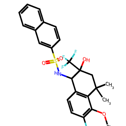 COc1c(F)ccc2c1C(C)(C)CC(O)(C(F)(F)F)C2NS(=O)(=O)c1ccc2ccccc2c1